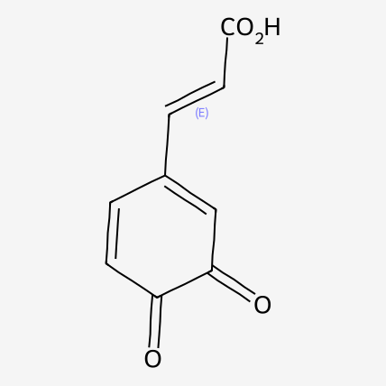 O=C(O)/C=C/C1=CC(=O)C(=O)C=C1